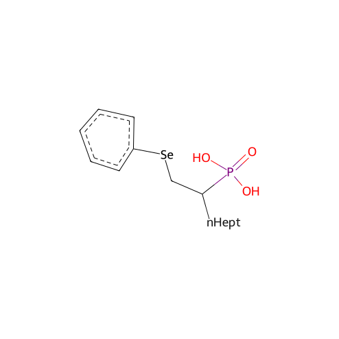 CCCCCCCC(C[Se]c1ccccc1)P(=O)(O)O